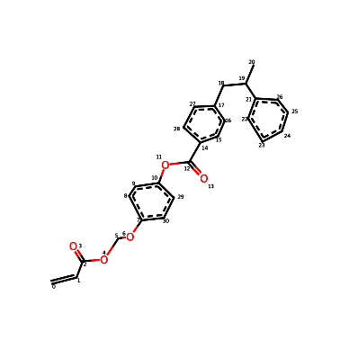 C=CC(=O)OCOc1ccc(OC(=O)c2ccc(CC(C)c3ccccc3)cc2)cc1